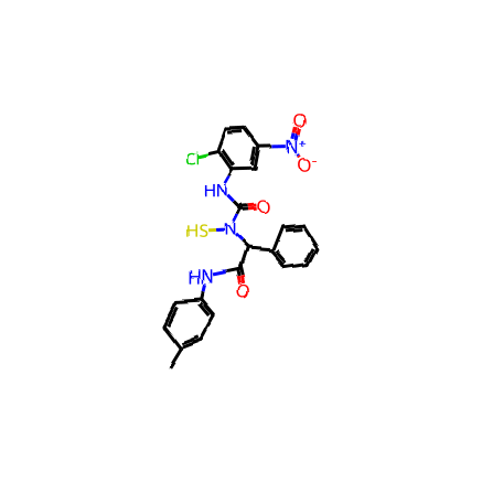 Cc1ccc(NC(=O)C(c2ccccc2)N(S)C(=O)Nc2cc([N+](=O)[O-])ccc2Cl)cc1